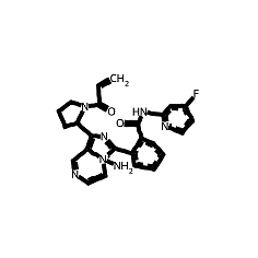 C=CC(=O)N1CCCC1C1=C2C=NC=C[N+]2(N)C(c2ccccc2C(=O)Nc2cc(F)ccn2)=N1